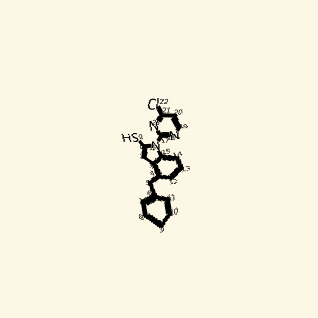 Sc1cc2c(Cc3ccccc3)cccc2n1-c1nccc(Cl)n1